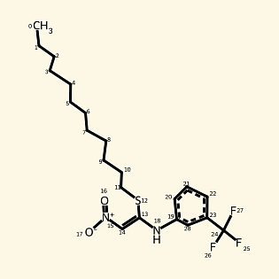 CCCCCCCCCCCCSC(=C[N+](=O)[O-])Nc1cccc(C(F)(F)F)c1